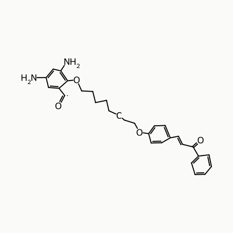 Nc1cc(N)c(OCCCCCCCCOc2ccc(C=CC(=O)c3ccccc3)cc2)c([C]=O)c1